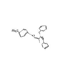 COc1ccc(OC=C(C)C(=Nc2ccccc2)Sc2ccccc2)cc1